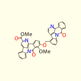 COC(=O)c1cc2c3ccccc3n3c(=O)c4c(OC)c(OCc5cccc6c5c5ccnc7c8ccccc8c(=O)n6c57)ccc4c(n1)c23